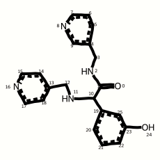 O=C(NCc1cccnc1)C(NCc1ccncc1)c1cccc(O)c1